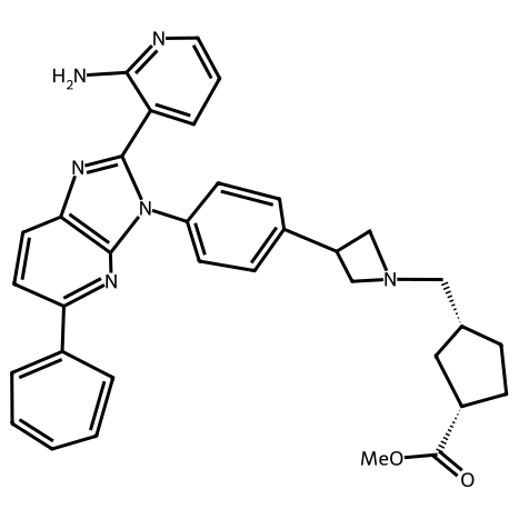 COC(=O)[C@H]1CC[C@@H](CN2CC(c3ccc(-n4c(-c5cccnc5N)nc5ccc(-c6ccccc6)nc54)cc3)C2)C1